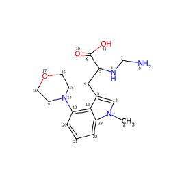 Cn1cc(CC(NCN)C(=O)O)c2c(N3CCOCC3)cccc21